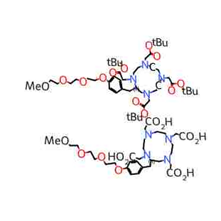 COCCOCCOCCOc1ccc(C[C@@H]2CN(CC(=O)O)CCN(CC(=O)O)CCN(CC(=O)O)CCN2CC(=O)O)cc1.COCCOCCOCCOc1ccc(C[C@@H]2CN(CC(=O)OC(C)(C)C)CCN(CC(=O)OC(C)(C)C)CCN(CC(=O)OC(C)(C)C)CCN2CC(=O)OC(C)(C)C)cc1